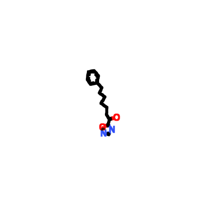 O=C(CCCCCCc1ccccc1)c1ncno1